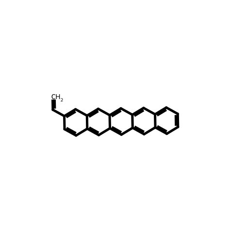 C=Cc1ccc2cc3cc4cc5ccccc5cc4cc3cc2c1